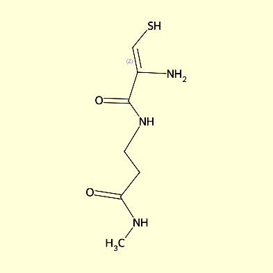 CNC(=O)CCNC(=O)/C(N)=C/S